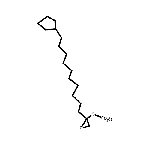 CCOC(=O)OC1(CCCCCCCCCCC2CCCC2)CO1